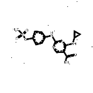 CS(=O)(=O)Oc1ccc(Nc2ncc(C(N)=O)c(NC3CC3)n2)cc1